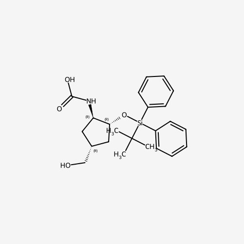 CC(C)(C)[Si](O[C@@H]1C[C@H](CO)C[C@H]1NC(=O)O)(c1ccccc1)c1ccccc1